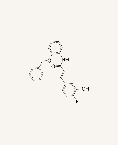 O=C(C=Cc1ccc(F)c(O)c1)Nc1ccccc1OCc1ccccc1